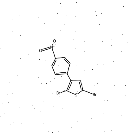 O=[N+]([O-])c1ccc(-c2cc(Br)sc2Br)cc1